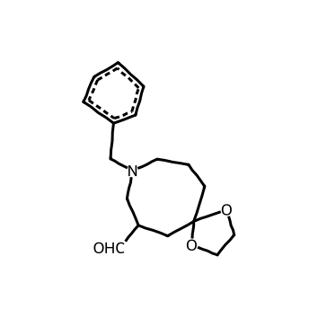 O=CC1CN(Cc2ccccc2)CCCC2(C1)OCCO2